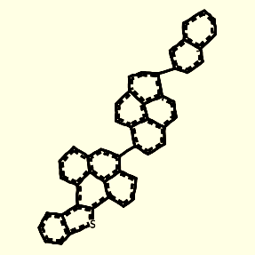 c1ccc2cc(-c3ccc4ccc5c(-c6cc7cccc8c9c%10ccccc%10sc9c9cccc6c9c78)ccc6ccc3c4c65)ccc2c1